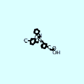 O=C(O)COc1cccc(CN(Cc2ccc(Cl)cc2)c2nc3ccccc3o2)c1